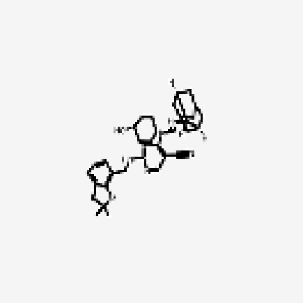 CC1(C)Cc2cccc(CNc3ncc(C#N)c(NC[C@]45CC6C[C@H](C4)[C@@H](NC[C@H]4CC[C@H](O)CC4)[C@@H](C6)C5)n3)c2O1